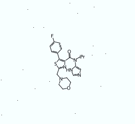 CC(C)N(C(=O)c1nc(CN2CCOCC2)sc1-c1ccc(F)cc1)c1cnc[nH]1